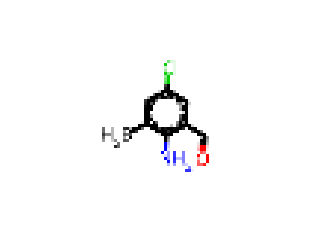 Bc1cc(Cl)cc(C=O)c1N